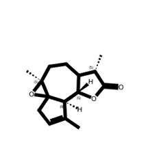 CC1=CCC23O[C@@]2(C)CCC2[C@H](C)C(=O)O[C@@H]2[C@@H]13